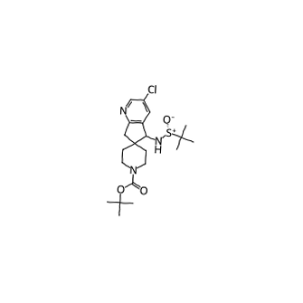 CC(C)(C)OC(=O)N1CCC2(CC1)Cc1ncc(Cl)cc1C2N[S@+]([O-])C(C)(C)C